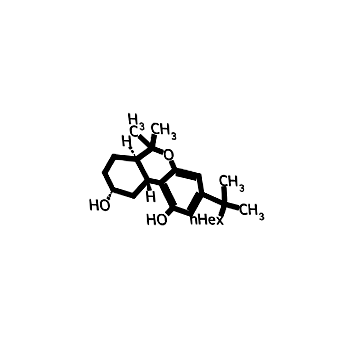 CCCCCCC(C)(C)c1cc(O)c2c(c1)OC(C)(C)[C@@H]1CC[C@@H](O)C[C@@H]21